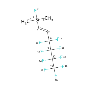 C[Si](C)(F)C=CC(F)(F)C(F)(F)C(F)(F)C(F)(F)F